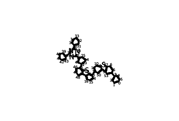 c1ccc(-c2ccc3sc4ccc(-c5cccc6c5sc5c(-c7cccc(-c8nc(-c9ccccc9)nc(-c9ccccc9)n8)c7)cccc56)cc4c3c2)cc1